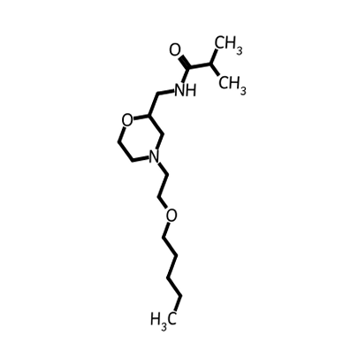 CCCCCOCCN1CCOC(CNC(=O)C(C)C)C1